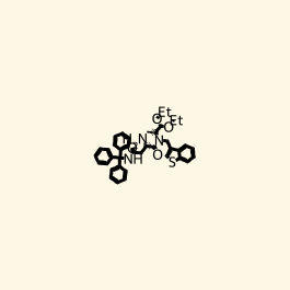 CCOC(OCC)[C@H](C)N(Cc1csc2ccccc12)C(=O)[C@@H](N)CC(=O)NC(c1ccccc1)(c1ccccc1)c1ccccc1